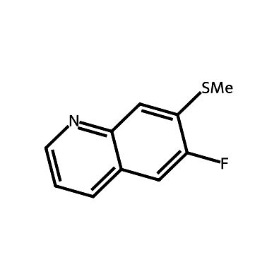 CSc1cc2ncccc2cc1F